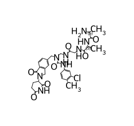 Cc1ccc(NC(=O)N(CNC(=O)CNC(=O)[C@H](C)NC(=O)[C@H](C)N)Cc2ccc3c(c2)CN(C2CCC(=O)NC2=O)C3=O)cc1Cl